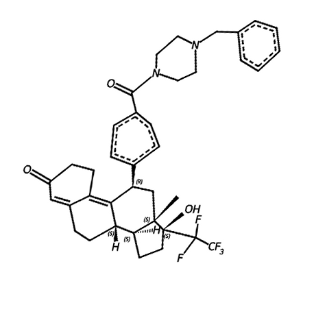 C[C@]12C[C@H](c3ccc(C(=O)N4CCN(Cc5ccccc5)CC4)cc3)C3=C4CCC(=O)C=C4CC[C@H]3[C@@H]1CC[C@@]2(O)C(F)(F)C(F)(F)F